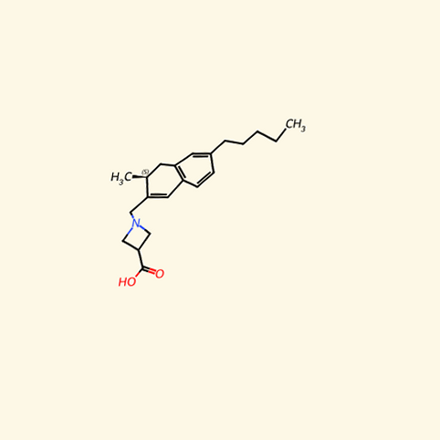 CCCCCc1ccc2c(c1)C[C@H](C)C(CN1CC(C(=O)O)C1)=C2